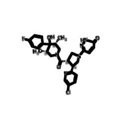 C[C@@H]1CN(C(=O)[C@@H]2CN(c3ccc(=O)[nH]n3)C[C@H]2c2ccc(Cl)cn2)C[C@H](C)C1(O)c1ccc(F)cc1